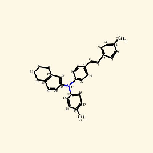 Cc1ccc(C=Cc2ccc(N(c3ccc(C)cc3)c3ccc4c(c3)CCCC4)cc2)cc1